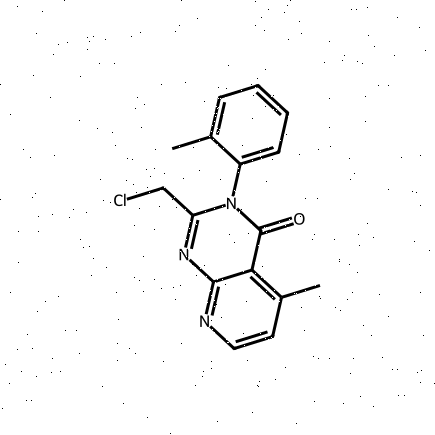 Cc1ccccc1-n1c(CCl)nc2nccc(C)c2c1=O